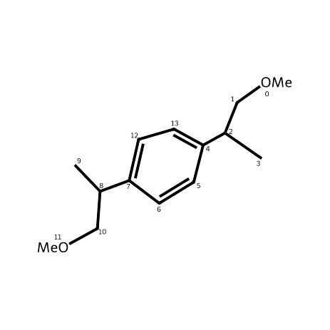 COCC(C)c1ccc(C(C)COC)cc1